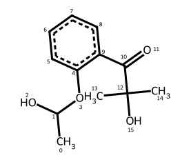 CC(O)Oc1ccccc1C(=O)C(C)(C)O